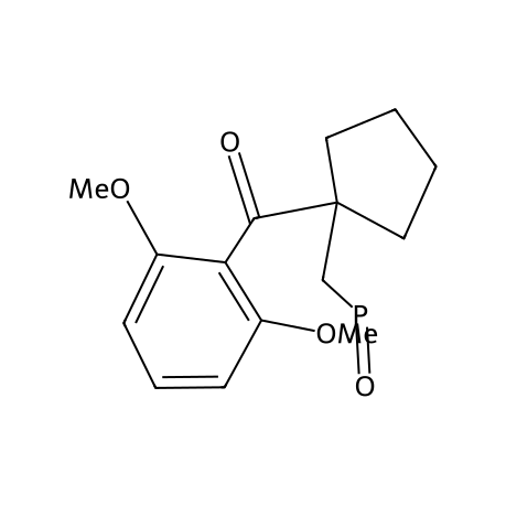 COc1cccc(OC)c1C(=O)C1(CP=O)CCCC1